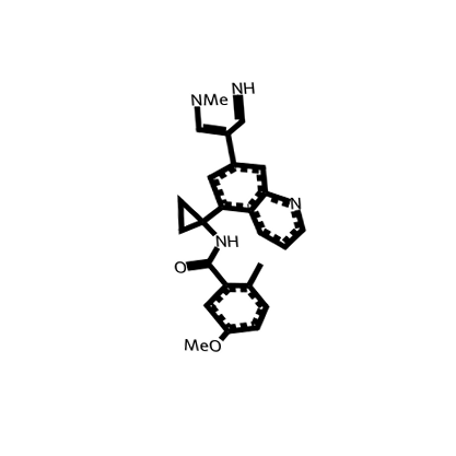 CN/C=C(\C=N)c1cc(C2(NC(=O)c3cc(OC)ccc3C)CC2)c2cccnc2c1